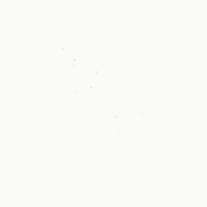 COC(=O)c1cc2c3c(sc2cc1N)CN(C)CC3